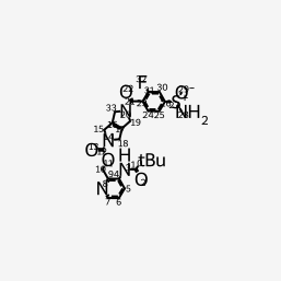 CC(C)(C)C(=O)Nc1cccnc1COC(=O)N1CC2=C(C1)CN(C(=O)c1ccc([S+](N)[O-])cc1F)C2